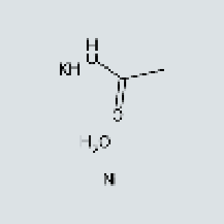 CC(=O)O.O.[KH].[Ni]